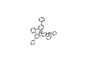 c1ccc(-c2ccc3c(c2)-c2ccccc2-c2cc(-c4ccccc4)cc4c5cc(-c6cccc7c6[nH]c6ccccc67)ccc5n-3c24)cc1